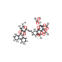 CC[C@H]1O[C@H](C#Cc2cccc([C@H]3O[C@H](COC(C)=O)[C@@H](OC(C)=O)[C@H](OC(C)=O)[C@@H]3OC(C)=O)c2)[C@@H](OCc2ccccc2)[C@@H](OCc2ccccc2)[C@@H]1C